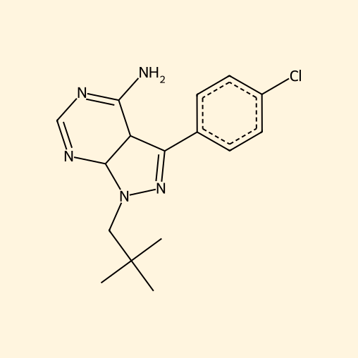 CC(C)(C)CN1N=C(c2ccc(Cl)cc2)C2C(N)=NC=NC21